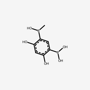 CB(O)c1cc(B(O)O)c(O)cc1O